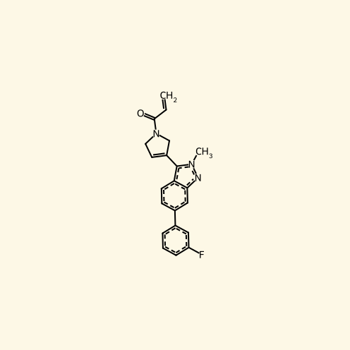 C=CC(=O)N1CC=C(c2c3ccc(-c4cccc(F)c4)cc3nn2C)C1